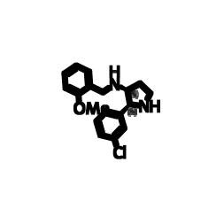 COc1ccccc1CN[C@H]1CCN[C@H]1c1cccc(Cl)c1